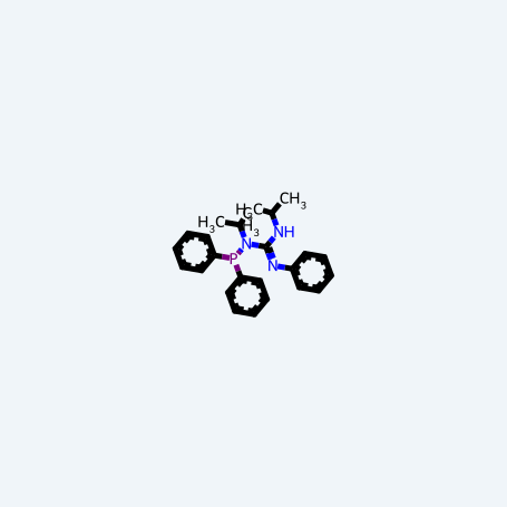 CC(C)N/C(=N\c1ccccc1)N(C(C)C)P(c1ccccc1)c1ccccc1